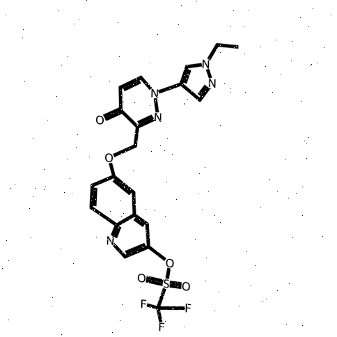 CCn1cc(-n2ccc(=O)c(COc3ccc4ncc(OS(=O)(=O)C(F)(F)F)cc4c3)n2)cn1